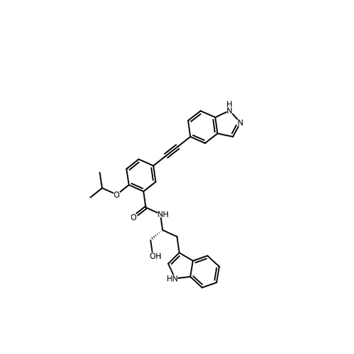 CC(C)Oc1ccc(C#Cc2ccc3[nH]ncc3c2)cc1C(=O)N[C@@H](CO)Cc1c[nH]c2ccccc12